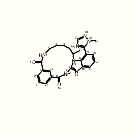 CC1CCCCNC(=O)c2cccc(c2)C(=O)Nc2nc3cccc(-c4ncnn4C)c3n21